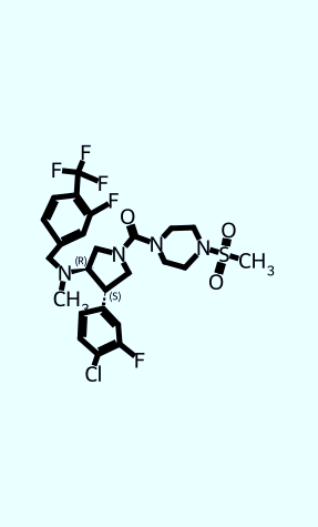 CN(Cc1ccc(C(F)(F)F)c(F)c1)[C@H]1CN(C(=O)N2CCN(S(C)(=O)=O)CC2)C[C@@H]1c1ccc(Cl)c(F)c1